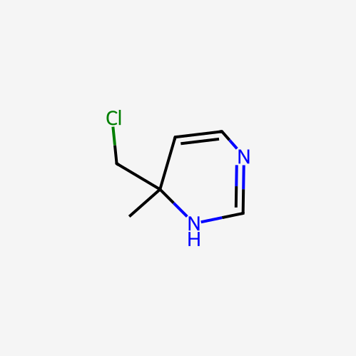 CC1(CCl)C=CN=CN1